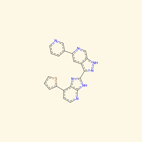 c1cncc(-c2cc3c(-c4nc5c(-c6cccs6)ccnc5[nH]4)n[nH]c3cn2)c1